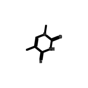 Cc1cn(C)c(=O)[nH]c1=S